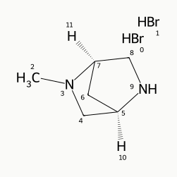 Br.Br.CN1C[C@H]2C[C@@H]1CN2